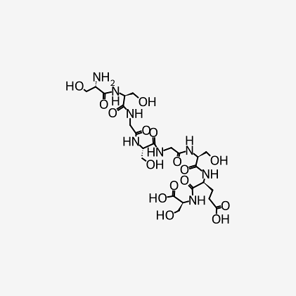 N[C@@H](CO)C(=O)N[C@@H](CO)C(=O)NCC(=O)N[C@@H](CO)C(=O)NCC(=O)N[C@@H](CO)C(=O)N[C@@H](CCC(=O)O)C(=O)N[C@@H](CO)C(=O)O